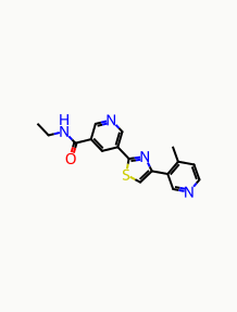 CCNC(=O)c1cncc(-c2nc(-c3cnccc3C)cs2)c1